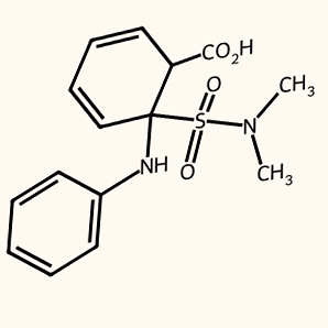 CN(C)S(=O)(=O)C1(Nc2ccccc2)C=CC=CC1C(=O)O